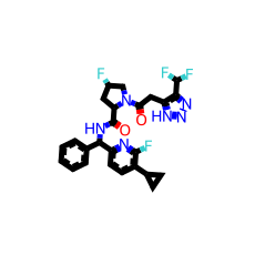 O=C(NC(c1ccccc1)c1ccc(C2CC2)c(F)n1)C1CC(F)CN1C(=O)Cc1[nH]nnc1C(F)F